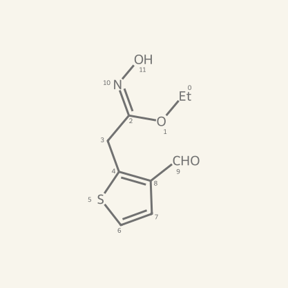 CCOC(Cc1sccc1C=O)=NO